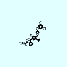 CC(C)(C)OC(=O)[C@@H]1CCCC1C(=O)c1cc(C2CC2)c(CN2CC(Oc3cc(Cl)cc(Cl)c3)C2)cc1F